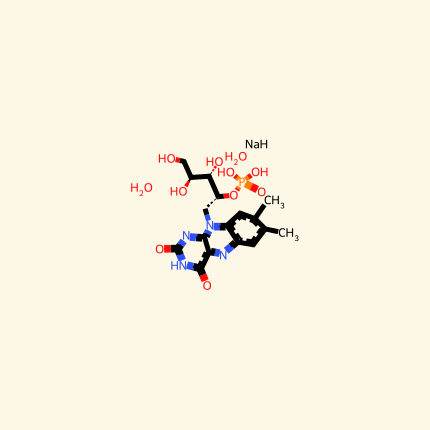 Cc1cc2nc3c(=O)[nH]c(=O)nc-3n(C[C@@H](OP(=O)(O)O)[C@@H](O)[C@@H](O)CO)c2cc1C.O.O.[NaH]